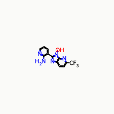 Nc1ncccc1-c1nc2ccc(C(F)(F)F)nc2n1O